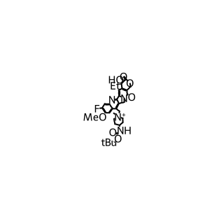 CC[C@@]1(O)C(=O)OCc2c1cc1n(c2=O)Cc2c-1nc1cc(F)c(OC)cc1c2C[N+]1(C)CCC(NC(=O)OC(C)(C)C)CC1